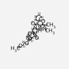 CN[C@@H](C)C(=O)N[C@H](C(=O)N1CCN(C(=O)c2cc(OCCOC)nn2C)CC1)C1CCCCC1